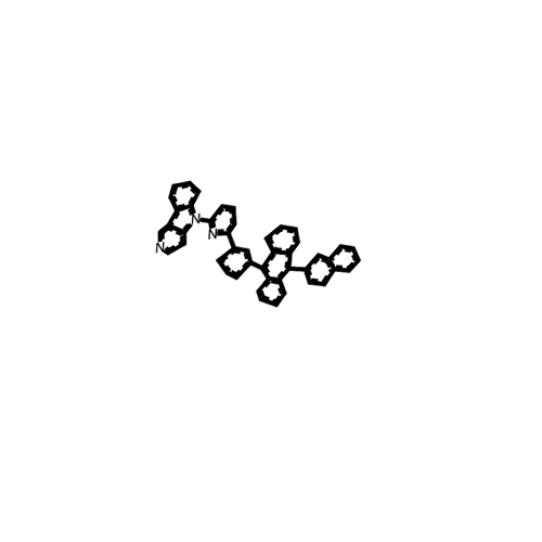 c1cc(-c2cccc(-n3c4ccccc4c4cnccc43)n2)cc(-c2c3ccccc3c(-c3ccc4ccccc4c3)c3ccccc23)c1